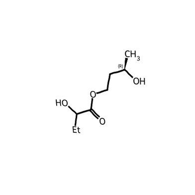 CCC(O)C(=O)OCC[C@@H](C)O